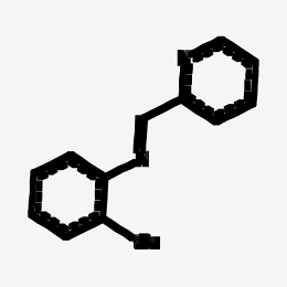 CC(C)(C)c1ccccc1N=Cc1ccccn1